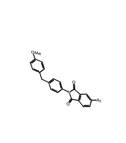 COc1ccc(Cc2ccc(N3C(=O)c4ccc(C(C)=O)cc4C3=O)cc2)cc1